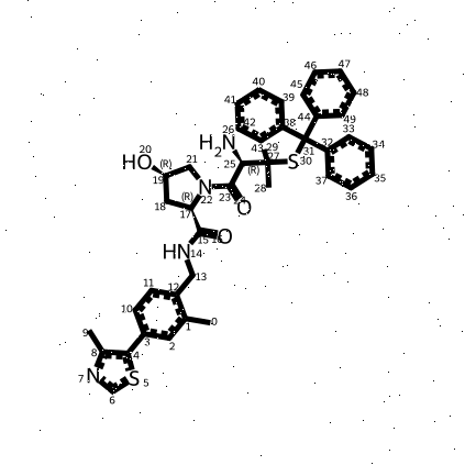 Cc1cc(-c2scnc2C)ccc1CNC(=O)[C@H]1C[C@@H](O)CN1C(=O)[C@@H](N)C(C)(C)SC(c1ccccc1)(c1ccccc1)c1ccccc1